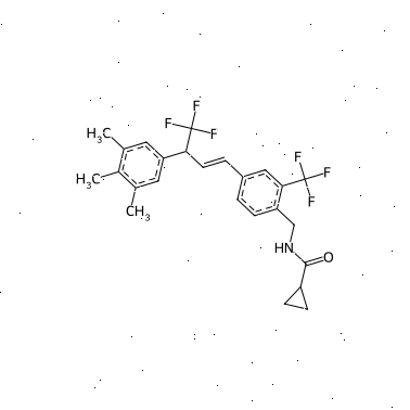 Cc1cc(C(/C=C/c2ccc(CNC(=O)C3CC3)c(C(F)(F)F)c2)C(F)(F)F)cc(C)c1C